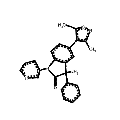 Cc1noc(C)c1-c1ccc2c(c1)C(C)(c1ccccc1)C(=O)N2c1cccnc1